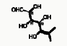 CC(C)=C(O)[C@@H](O)[C@@H](O)[C@@H](O)C=O